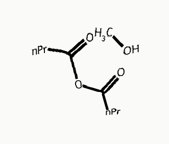 CCCC(=O)OC(=O)CCC.CO